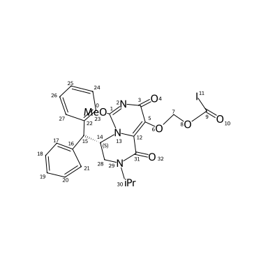 COc1nc(=O)c(OCOC(=O)I)c2n1[C@@H](C(c1ccccc1)c1ccccc1)CN(C(C)C)C2=O